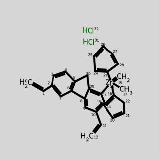 C=Cc1ccc2c(c1)-c1cc(C=C)c[c]([Zr](=[CH2])([CH3])([C]3=CC=CC3)[c]3ccccc3)c1C2.Cl.Cl